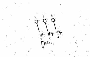 CC(C)[O-].CC(C)[O-].CC(C)[O-].[Fe+3]